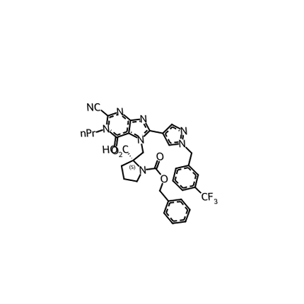 CCCn1c(C#N)nc2nc(-c3cnn(Cc4cccc(C(F)(F)F)c4)c3)n(C[C@]3(C(=O)O)CCCN3C(=O)OCc3ccccc3)c2c1=O